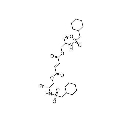 CC(C)[C@H](COC(=O)/C=C/C(=O)OC[C@H](NS(=O)(=O)CC1CCCCC1)C(C)C)NS(=O)(=O)CC1CCCCC1